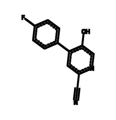 N#Cc1cc(-c2ccc(F)cc2)c(O)cn1